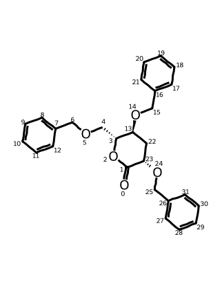 O=C1O[C@H](COCc2ccccc2)[C@@H](OCc2ccccc2)C[C@@H]1OCc1ccccc1